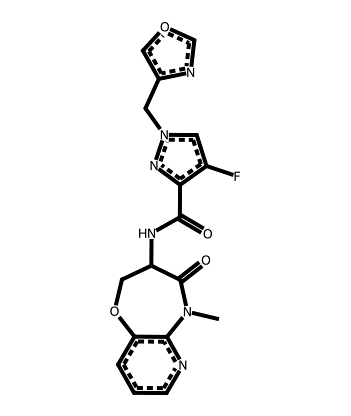 CN1C(=O)C(NC(=O)c2nn(Cc3cocn3)cc2F)COc2cccnc21